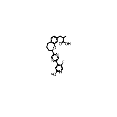 COc1cc(-c2cnc(C3CCCc4ccc(CC(C)C(=O)O)cc4O3)cn2)c(F)cn1